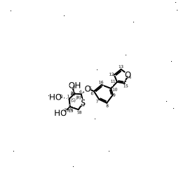 O[C@@H]1[C@@H](O)[C@H](Oc2cccc(-c3ccoc3)c2)SC[C@H]1O